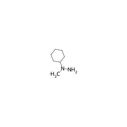 [CH2]N(N)C1CCCCC1